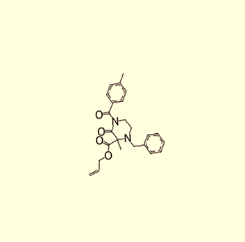 C=CCOC(=O)C1(C)C(=O)N(C(=O)c2ccc(C)cc2)CCN1Cc1ccccc1